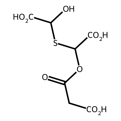 O=C(O)CC(=O)OC(SC(O)C(=O)O)C(=O)O